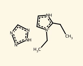 CCc1[nH]cc[n+]1CC.c1nn[nH]n1